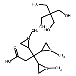 CCC(CO)(CO)CO.CN1CC1C(CC(=O)O)(C1CN1C)C1CN1C